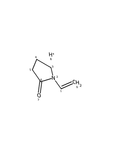 C=CN1CCCC1=O.[H+]